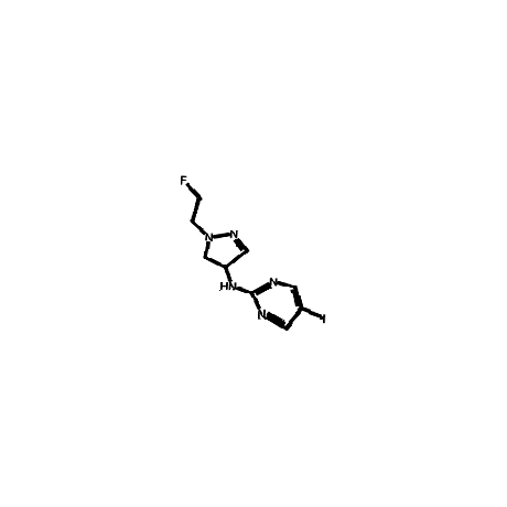 FCCN1CC(Nc2ncc(I)cn2)C=N1